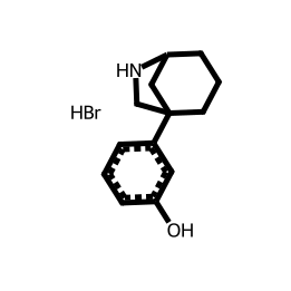 Br.Oc1cccc(C23CCCC(C2)NC3)c1